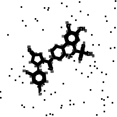 Cc1cc(N(C(F)(F)F)S(C)(=O)=O)c(C2CCN(C(=O)C3CC(=O)C[C@H]3c3ccc(F)cc3F)CC2)cc1Cl